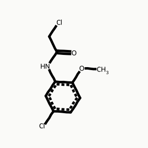 COc1ccc(Cl)cc1NC(=O)CCl